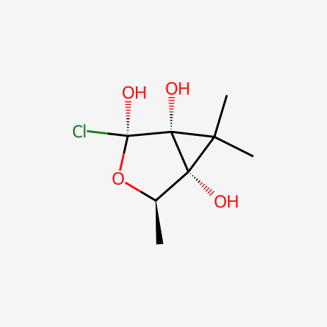 C[C@H]1O[C@@](O)(Cl)[C@@]2(O)C(C)(C)[C@@]12O